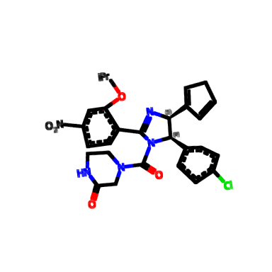 CC(C)Oc1cc([N+](=O)[O-])ccc1C1=N[C@@H](C2=CCC=C2)[C@@H](c2ccc(Cl)cc2)N1C(=O)N1CCNC(=O)C1